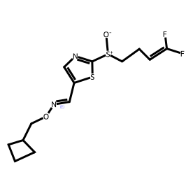 [O-][S+](CCC=C(F)F)c1ncc(/C=N/OCC2CCC2)s1